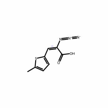 Cc1ccc(/C=C(/N=[N+]=[N-])C(=O)O)s1